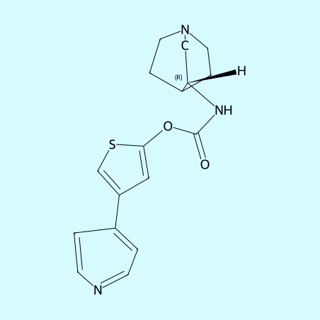 O=C(N[C@H]1CN2CCC1CC2)Oc1cc(-c2ccncc2)cs1